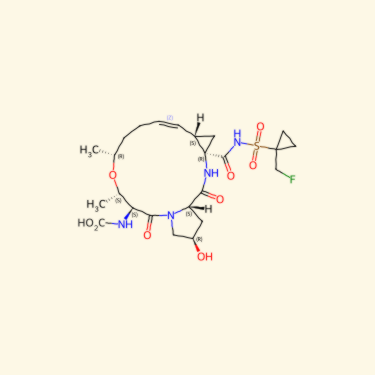 C[C@@H]1CC/C=C\[C@@H]2C[C@@]2(C(=O)NS(=O)(=O)C2(CF)CC2)NC(=O)[C@@H]2C[C@@H](O)CN2C(=O)[C@@H](NC(=O)O)[C@H](C)O1